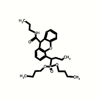 CCCCOP(=O)(OCCCC)C(CCC)c1cccc2c1Oc1ccccc1C2C(=O)NCCC